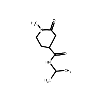 CC(C)NC(=O)C1CCN(C)C(=O)C1